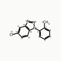 Cc1ccccc1-n1nnc2cc(Cl)ccc21